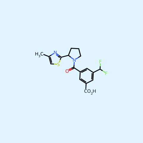 Cc1csc(C2CCCN2C(=O)c2cc(C(=O)O)cc(C(F)F)c2)n1